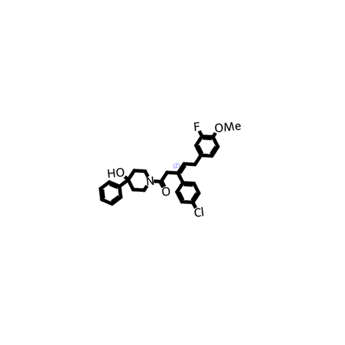 COc1ccc(C/C=C(/CC(=O)N2CCC(O)(c3ccccc3)CC2)c2ccc(Cl)cc2)cc1F